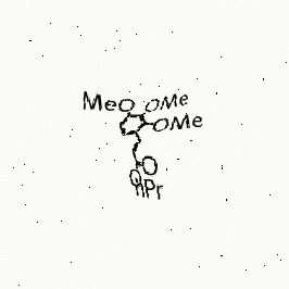 CCCOC(=O)/C=C/c1ccc(OC)c(OC)c1OC